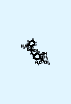 CC(C)(C)c1ccc(CC(C)(C)c2ccccc2N)cc1O